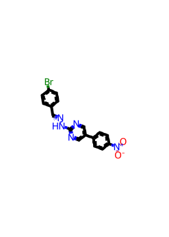 O=[N+]([O-])c1ccc(-c2cnc(N/N=C/c3ccc(Br)cc3)nc2)cc1